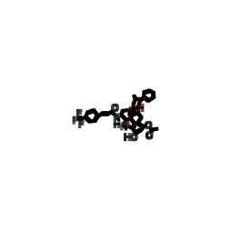 CC(=O)Oc1cc(O)c2c3c1C[C@@H]1[C@@H]4CC[C@@H](NC(=O)C#Cc5ccc(C(F)(F)F)cc5)[C@H](O2)[C@]34CC[N+]1(CCc1ccccc1)CC(C)C